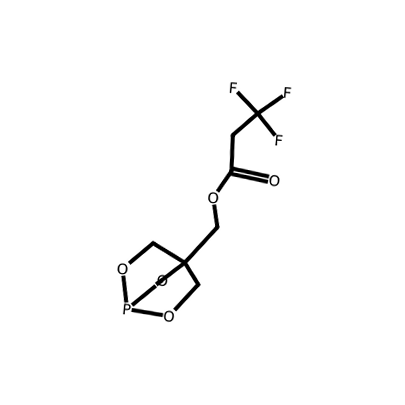 O=C(CC(F)(F)F)OCC12COP(OC1)OC2